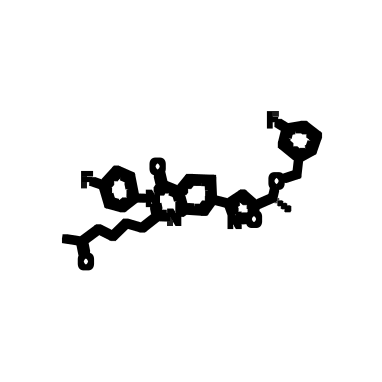 CC(=O)CCCCc1nc2cc(-c3cc([C@@H](C)OCc4cccc(F)c4)on3)ccc2c(=O)n1-c1ccc(F)cc1